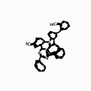 N#Cc1ccc(-n2c3ccccc3c3cc(-c4ccccc4C#N)ccc32)c(-c2nc(-c3ccccc3)nc(-c3ccccc3)n2)c1